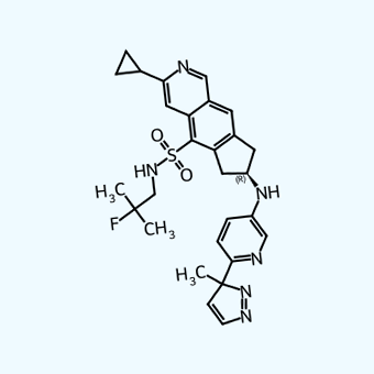 CC(C)(F)CNS(=O)(=O)c1c2c(cc3cnc(C4CC4)cc13)C[C@@H](Nc1ccc(C3(C)C=CN=N3)nc1)C2